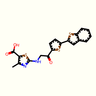 Cc1nc(NCC(=O)c2ccc(-c3cc4ccccc4s3)s2)sc1C(=O)O